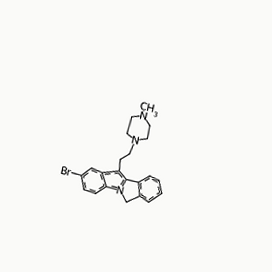 CN1CCN(CCc2c3n(c4ccc(Br)cc24)Cc2ccccc2-3)CC1